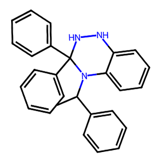 CC(c1ccccc1)N1c2ccccc2NNC1(c1ccccc1)c1ccccc1